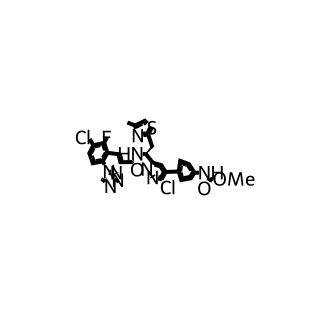 COC(=O)Nc1ccc(-c2cc([C@H](Cc3nc(C)cs3)NC(=O)/C=C/c3c(-n4cnnn4)ccc(Cl)c3F)nnc2Cl)cc1